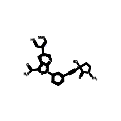 CN/C=C(\C=N)c1cnc2c(c1)c(C(N)=O)nn2-c1cccc(C#C[C@]2(O)CCN(C)C2=O)c1